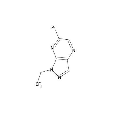 CC(C)c1cnc2cnn(CC(F)(F)F)c2n1